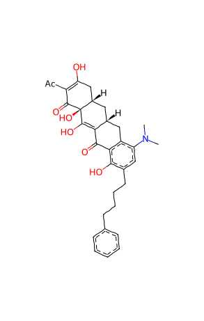 CC(=O)C1=C(O)C[C@@H]2C[C@@H]3Cc4c(N(C)C)cc(CCCCc5ccccc5)c(O)c4C(=O)C3=C(O)[C@]2(O)C1=O